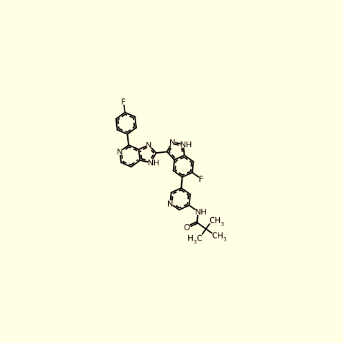 CC(C)(C)C(=O)Nc1cncc(-c2cc3c(-c4nc5c(-c6ccc(F)cc6)nccc5[nH]4)n[nH]c3cc2F)c1